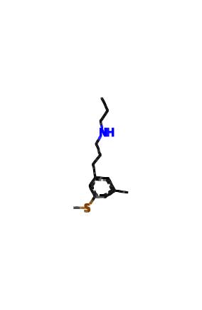 CCCNCCCc1cc(C)cc(SC)c1